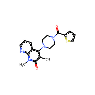 Cn1c(=O)c(C#N)c(N2CCN(C(=O)c3cccs3)CC2)c2cccnc21